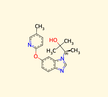 Cc1ccc(Oc2ccc3ncn([C@H](C)C(C)(C)O)c3c2)nc1